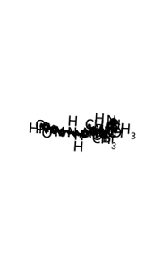 CCc1cc(Nc2ncc(Br)c(Nc3ccc4nccnc4c3P(C)(C)=O)n2)c(OC)cc1N1CCC(NCCNCC[C@H]2CCN(c3ccc(C4CCC(=O)NC4=O)cc3)C2)CC1